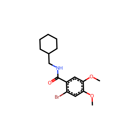 COc1cc(Br)c(C(=O)NCC2CCCCC2)cc1OC